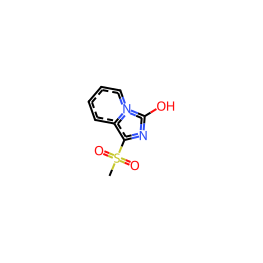 CS(=O)(=O)c1nc(O)n2ccccc12